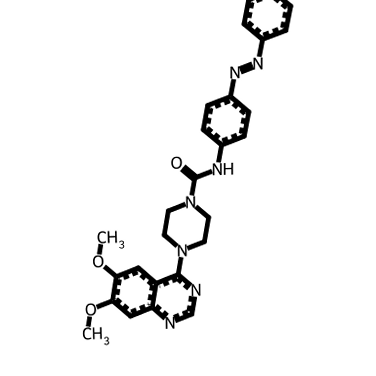 COc1cc2ncnc(N3CCN(C(=O)Nc4ccc(N=Nc5ccccc5)cc4)CC3)c2cc1OC